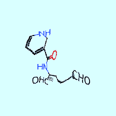 O=CCC[C@@H](C=O)NC(=O)C1=CC=CNC1